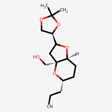 CC1(C)OC[C@H](C2C[C@]3(CO)O[C@@H](CCC#N)CC[C@@H]3O2)O1